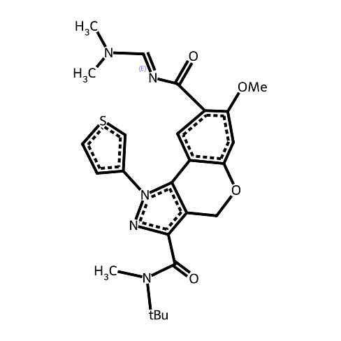 COc1cc2c(cc1C(=O)/N=C/N(C)C)-c1c(c(C(=O)N(C)C(C)(C)C)nn1-c1ccsc1)CO2